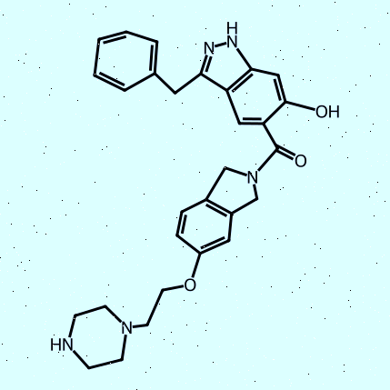 O=C(c1cc2c(Cc3ccccc3)n[nH]c2cc1O)N1Cc2ccc(OCCN3CCNCC3)cc2C1